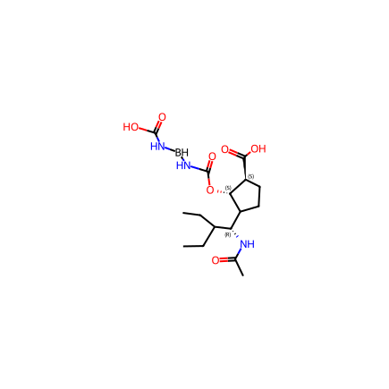 CCC(CC)[C@@H](NC(C)=O)C1CC[C@H](C(=O)O)[C@H]1OC(=O)NBNC(=O)O